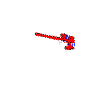 CCCCc1nc2c(NC(=O)OCc3ccc(O[C@H]4O[C@H](COC(C)=O)[C@@H](OC(C)=O)[C@H](OC(C)=O)[C@@H]4OC(C)=O)c(NC(=O)CCNC(=O)[C@H](CCCCNC(=O)CCOCCOCCOCCOCCOCCOCCOCCOCCOCCOCCOCCOC)NC(=O)OCC4c5ccccc5-c5ccccc54)c3)nc3cc(C(=O)OC)ccc3c2n1CC(C)O